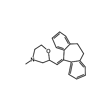 CN1CCOC(C=C2c3ccccc3CCc3ccccc32)C1